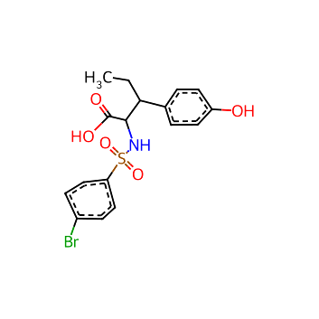 CCC(c1ccc(O)cc1)C(NS(=O)(=O)c1ccc(Br)cc1)C(=O)O